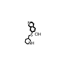 Cl.c1cc2ccc(SCC3CCCNC3)cc2cn1